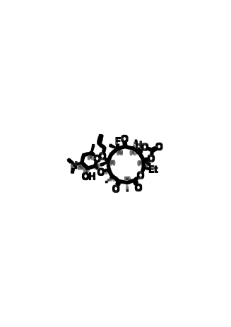 C=CCO[C@]1(C)C[C@](C)(F)C(=O)[C@H](C)[C@H]2OC(=O)O[C@]2(C)[C@@H](CC)OC(=O)[C@H](C)C(=O)[C@H](C)[C@H]1O[C@@H]1O[C@H](C)C[C@H](N(C)C)[C@H]1O